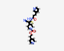 N#Cc1c(NC(=O)CCc2cccnc2)sc2c1CCN(C(=O)OCCc1ccncc1)C2